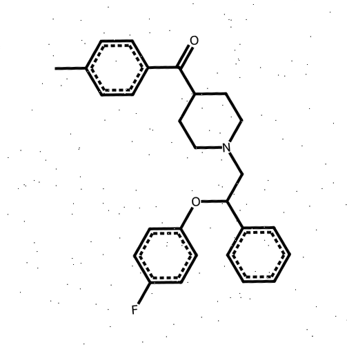 Cc1ccc(C(=O)C2CCN(CC(Oc3ccc(F)cc3)c3ccccc3)CC2)cc1